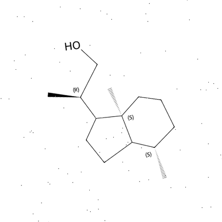 C[C@@H](CO)C1CCC2[C@@H](C)CCC[C@]12C